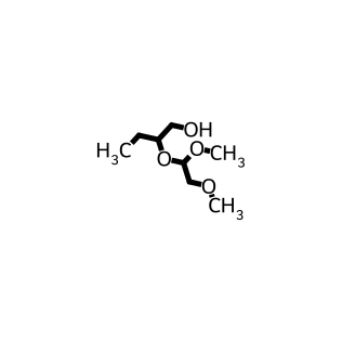 CCC(CO)OC(COC)OC